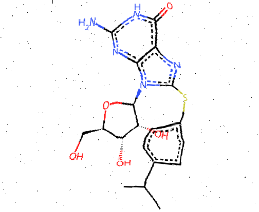 CC(C)c1ccc(Sc2nc3c(=O)[nH]c(N)nc3n2[C@@H]2O[C@H](CO)[C@@H](O)[C@H]2O)cc1